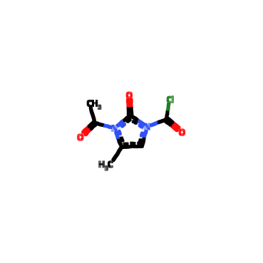 CC(=O)n1c(C)cn(C(=O)Cl)c1=O